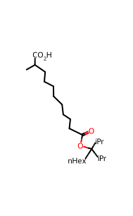 CCCCCCC(OC(=O)CCCCCCCCC(C)C(=O)O)(C(C)C)C(C)C